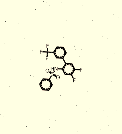 O=S(=O)(Nc1cc(F)c(F)cc1-c1cccc(C(F)(F)F)c1)c1ccccc1